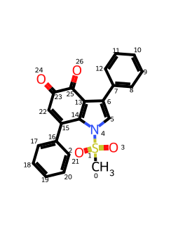 CS(=O)(=O)n1cc(-c2ccccc2)c2c1C(c1ccccc1)=CC(=O)C2=O